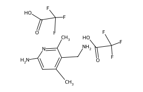 Cc1cc(N)nc(C)c1CN.O=C(O)C(F)(F)F.O=C(O)C(F)(F)F